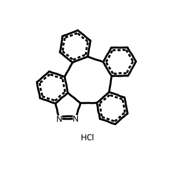 Cl.c1ccc2c(c1)-c1ccccc1-c1cccc3c1C(N=N3)c1ccccc1-2